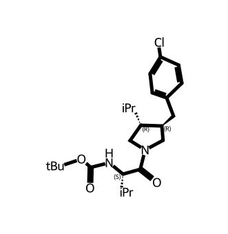 CC(C)[C@H](NC(=O)OC(C)(C)C)C(=O)N1C[C@H](Cc2ccc(Cl)cc2)[C@@H](C(C)C)C1